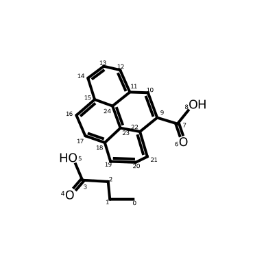 CCCC(=O)O.O=C(O)c1cc2cccc3ccc4cccc1c4c32